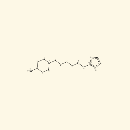 CC(C)(C)C1CCN(CCCCOCn2cccn2)CC1